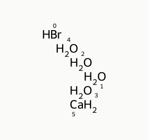 Br.O.O.O.O.[CaH2]